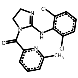 Cc1cccc(C(=O)N2CCN=C2Nc2c(Cl)cccc2Cl)n1